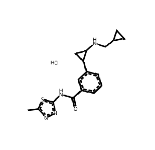 Cc1nnc(NC(=O)c2cccc(C3CC3NCC3CC3)c2)s1.Cl